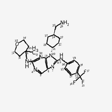 CC1(Nc2ncc3nc(Nc4ccc(C(F)(F)F)cc4)n([C@H]4CC[C@H](CN)CC4)c3n2)CCOCC1